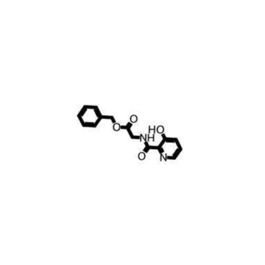 O=C(CNC(=O)c1ncccc1O)OCc1ccccc1